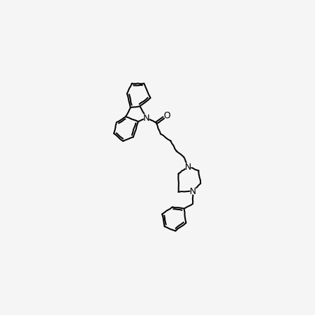 O=C(CCCCN1CCN(Cc2ccccc2)CC1)n1c2ccccc2c2ccccc21